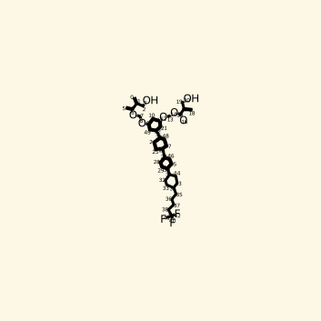 C=C(CO)C(=C)OCOc1cc(OCOC(=O)C(=C)CO)cc(-c2ccc(-c3ccc(C4CCC(CCCCC(F)(F)F)CC4)cc3)cc2)c1